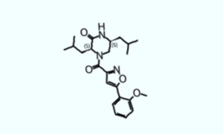 COc1ccccc1-c1cc(C(=O)N2C[C@H](CC(C)C)NC(=O)[C@@H]2CC(C)C)no1